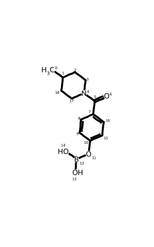 CC1CCN(C(=O)c2ccc(OB(O)O)cc2)CC1